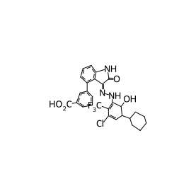 O=C1Nc2cccc(-c3cccc(C(=O)O)c3)c2C1=NNC1=C(C(F)(F)F)C(Cl)=CC(C2CCCCC2)C1O